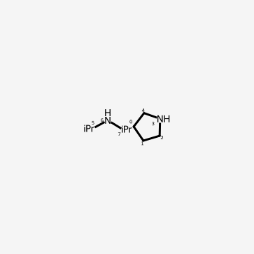 C1CCNC1.CC(C)NC(C)C